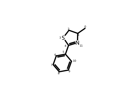 CC1CSC(c2ccccc2)=N1